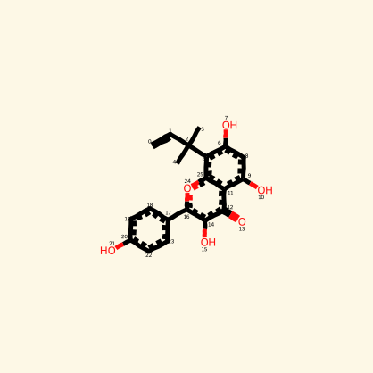 C=CC(C)(C)c1c(O)cc(O)c2c(=O)c(O)c(-c3ccc(O)cc3)oc12